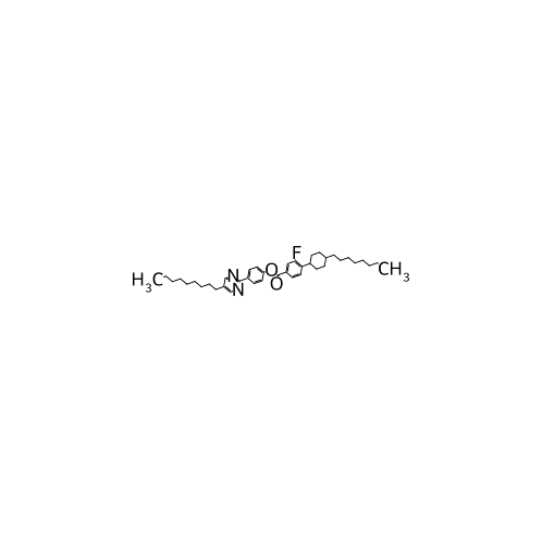 CCCCCCCCCc1cnc(-c2ccc(OC(=O)c3ccc(C4CCC(CCCCCCCC)CC4)c(F)c3)cc2)nc1